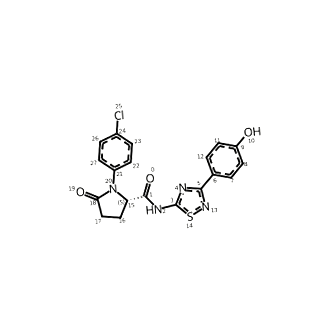 O=C(Nc1nc(-c2ccc(O)cc2)ns1)[C@@H]1CCC(=O)N1c1ccc(Cl)cc1